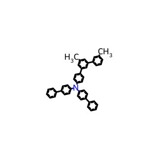 Cc1cccc(-c2cc(C)cc(-c3ccc(N(c4ccc(-c5ccccc5)cc4)c4ccc(-c5ccccc5)cc4)cc3)c2)c1